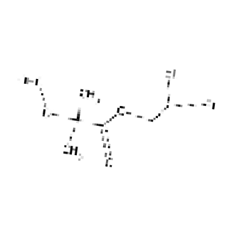 CCC(CC)COC(=O)C(C)(C)OC=O